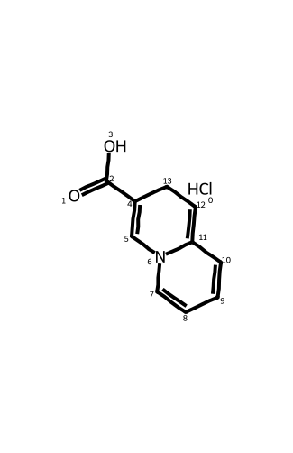 Cl.O=C(O)C1=CN2C=CC=CC2=CC1